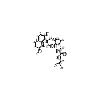 COc1ccc2ccc(F)c(C(CO)CN3CC[C@H](CNC(=O)OCC(C)C)C3)c2n1